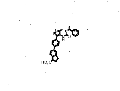 Cc1onc(-c2ccc(-c3ccc4c(c3)CCC4C(=O)O)cc2)c1NC(=O)OC(C)c1ccccc1